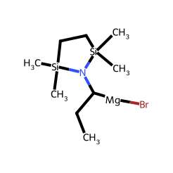 CC[CH]([Mg][Br])N1[Si](C)(C)CC[Si]1(C)C